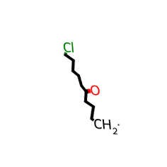 [CH2]CCCC(=O)CCCCCCl